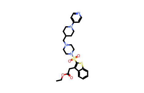 CCOC(=O)Cc1c(S(=O)(=O)N2CCN(CC3CCN(c4ccncc4)CC3)CC2)sc2ccccc12